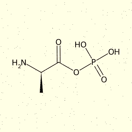 C[C@@H](N)C(=O)OP(=O)(O)O